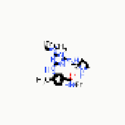 CCNC(=O)c1ccc(C)c(Nc2nc(NC[C@H]3CCCN3)nc(N(C)CC(C)C)n2)c1